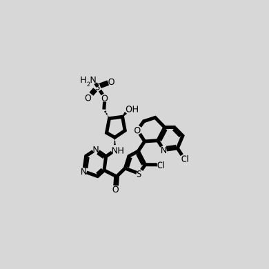 NS(=O)(=O)OC[C@H]1C[C@@H](Nc2ncncc2C(=O)c2cc(C3OCCc4ccc(Cl)nc43)c(Cl)s2)C[C@@H]1O